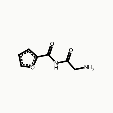 NCC(=O)NC(=O)c1ccco1